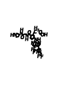 CCc1cc(Nc2nccn3c(-c4cn(CC(F)F)nc4C(F)(F)F)cnc23)ccc1C(=O)NCC(=O)N[C@H]1CCNC1.O=CO